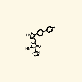 N=C1S/C(=C\c2c[nH]nc2-c2ccc(-c3ccc(F)cc3)cc2)C(=O)N1c1nccs1